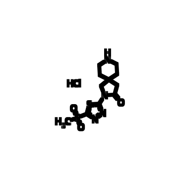 CS(=O)(=O)c1nnc(N2CC3(CCNCC3)CC2=O)s1.Cl